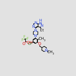 CCc1n[nH]c2ncnc(N3CCN(c4cc(Cl)cc(OCC5CCN(C)CC5)c4C)CC3)c12.O=C(O)C(F)(F)F